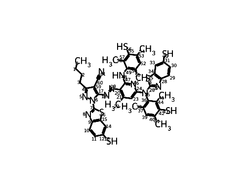 CCCCc1nn(-c2nc3ccc(S)cc3s2)c(N=Nc2c(C)cc(N(c3nc4ccc(S)cc4s3)c3c(C)cc(C)c(S)c3C)nc2Nc2c(C)cc(C)c(S)c2C)c1C#N